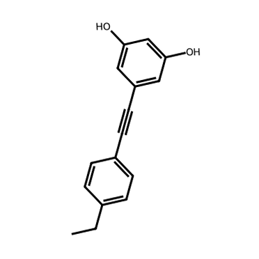 CCc1ccc(C#Cc2cc(O)cc(O)c2)cc1